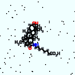 C=C(C)[C@@H]1CC[C@]2(C(=O)NCCCCCCCC(=O)O)CC[C@]3(C)[C@H](CCC4[C@@]5(C)CC[C@H](O)C(C)(C)[C@@H]5CC[C@]43C)[C@@H]12